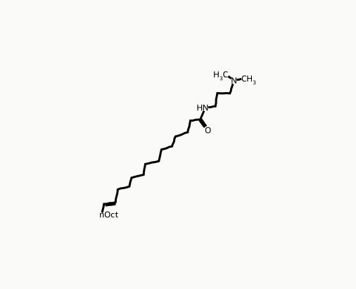 CCCCCCCCC=CCCCCCCCCCCCC(=O)NCCCN(C)C